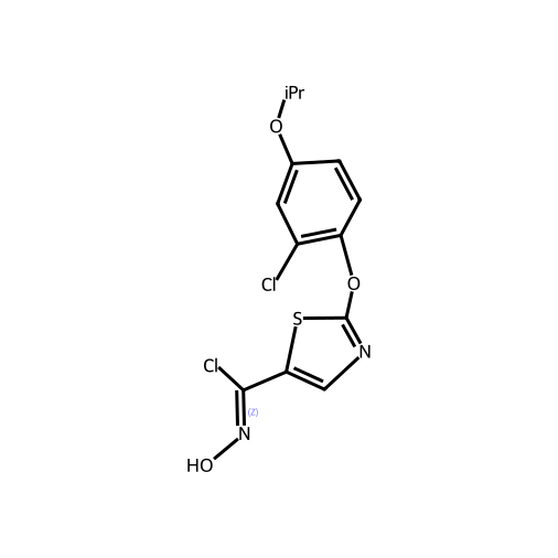 CC(C)Oc1ccc(Oc2ncc(/C(Cl)=N/O)s2)c(Cl)c1